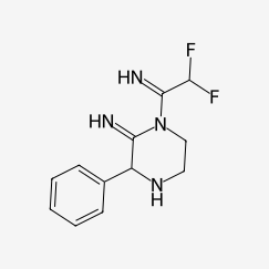 N=C(C(F)F)N1CCNC(c2ccccc2)C1=N